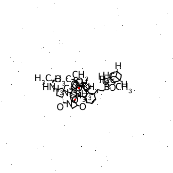 CC(=O)N[C@H]1C[C@@H](C(=O)N2CC(Oc3ccc(CCB4O[C@@H]5C[C@@H]6C[C@@H](C6(C)C)[C@]5(C)O4)c(OC(=O)OC(C)(C)C)c3C(=O)OC(C)(C)C)C2)N(C(=O)OC(C)(C)C)C1